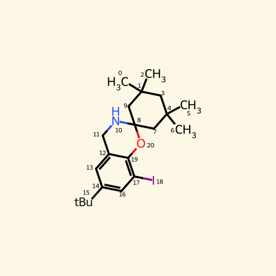 CC1(C)CC(C)(C)CC2(C1)NCc1cc(C(C)(C)C)cc(I)c1O2